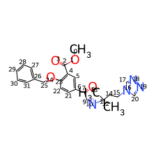 COC(=O)c1cc(C(=O)/C=N\C(C)(C)CCn2cnnc2)ccc1OCc1ccccc1